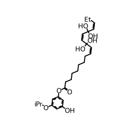 CC/C=C\C(O)(O)/C=C\C(O)(O)/C=C\CCCCCCCC(=O)Oc1cc(O)cc(OC(C)C)c1